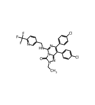 CCn1nc2c(-c3ccc(Cl)cc3)c(-c3ccc(Cl)cc3)nc(NCc3ccc(C(F)(F)F)nc3)n2c1=O